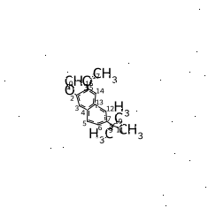 COc1cc2ccc(C(C)(C)C)cc2cc1OC